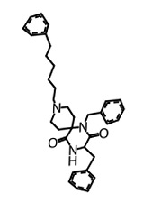 O=C1C(Cc2ccccc2)NC(=O)C2(CCN(CCCCCCc3ccccc3)CC2)N1Cc1ccccc1